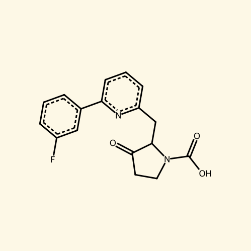 O=C1CCN(C(=O)O)C1Cc1cccc(-c2cccc(F)c2)n1